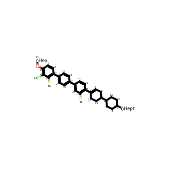 CCCCCCCC1CCC(C2CC=C(c3ccc(-c4ccc(-c5ccc(OCCCCCC)c(F)c5F)cc4)cc3F)CC2)CC1